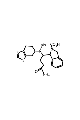 CCCN(C1CCc2ncsc2C1)C(CCC(N)=O)C1c2ccccc2CN1C(=O)O